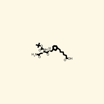 CC(C)(C)OC(=O)N[C@@H](CCC(N)=O)C(=O)NCc1cccc(CCCCCC(=O)O)c1